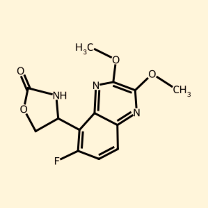 COc1nc2ccc(F)c(C3COC(=O)N3)c2nc1OC